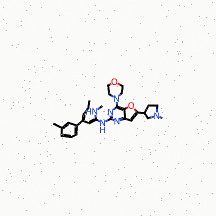 CC/C=C(\C=C(/NC)Nc1nc(N2CCOCC2)c2oc(C3CCN(C)C3)cc2n1)c1cccc(C)c1